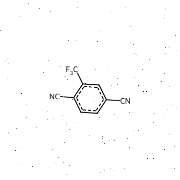 N#Cc1ccc(C#N)c(C(F)(F)F)c1